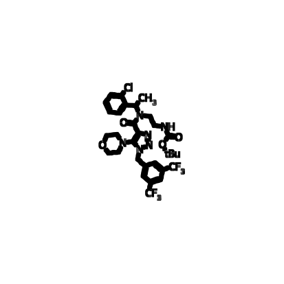 CC(c1ccccc1Cl)N(CCNC(=O)OC(C)(C)C)C(=O)c1nnn(Cc2cc(C(F)(F)F)cc(C(F)(F)F)c2)c1N1CCOCC1